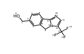 OCc1ccc2c(c1)Cn1c(C(F)(F)F)cnc1-2